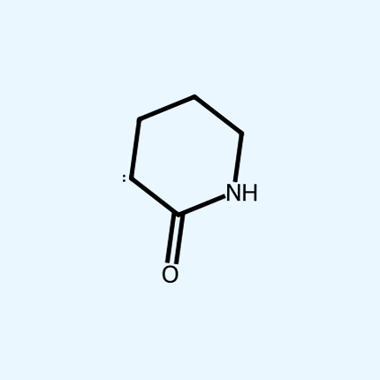 O=C1[C]CCCN1